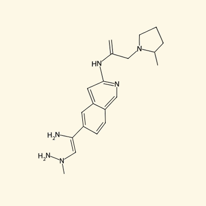 C=C(CN1CCCC1C)Nc1cc2cc(/C(N)=C/N(C)N)ccc2cn1